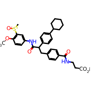 C[S+]([O-])c1cc(NC(=O)C(Cc2ccc(C(=O)NCCC(=O)O)cc2)c2ccc(C3CCCCC3)cc2)ccc1OC(F)(F)F